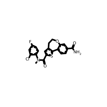 CN(C(=O)c1cc2c(s1)-c1ccc(C(N)=O)cc1OCC2)c1ccc(F)cc1Cl